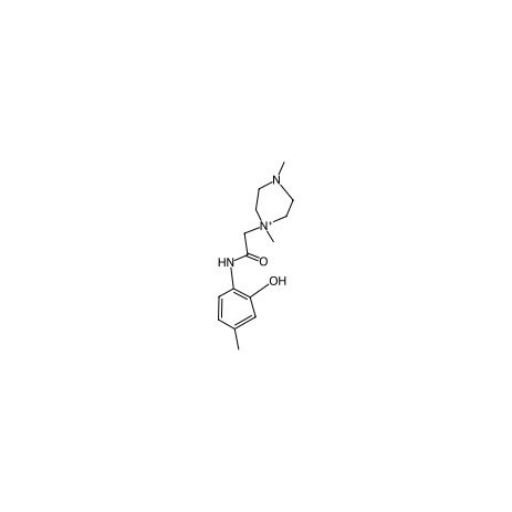 Cc1ccc(NC(=O)C[N+]2(C)CCN(C)CC2)c(O)c1